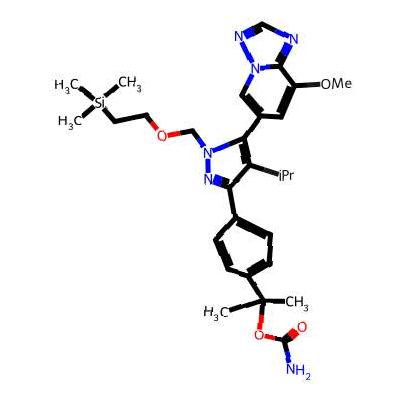 COc1cc(-c2c(C(C)C)c(-c3ccc(C(C)(C)OC(N)=O)cc3)nn2COCC[Si](C)(C)C)cn2ncnc12